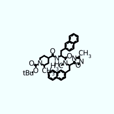 Cc1noc(C(Cc2ccc3ccccc3c2)N(C)C(=O)C(Cc2ccc3ccccc3c2)NC(=O)C2CCN(C(=O)OC(C)(C)C)C(C)C2)n1